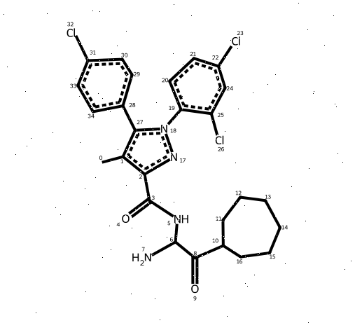 Cc1c(C(=O)NC(N)C(=O)C2CCCCCC2)nn(-c2ccc(Cl)cc2Cl)c1-c1ccc(Cl)cc1